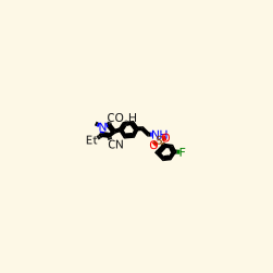 CCc1c(C#N)c(-c2ccc(CCNS(=O)(=O)c3cccc(F)c3)cc2)c(C(=O)O)n1C